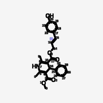 COC(=O)C1=C(C)NC(C)=C(C(=O)OC/C=C/c2ccc(O)cc2)C1c1ccccc1